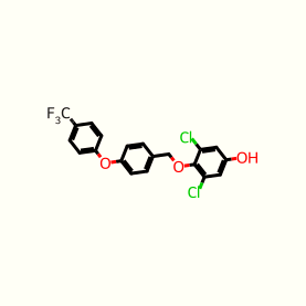 Oc1cc(Cl)c(OCc2ccc(Oc3ccc(C(F)(F)F)cc3)cc2)c(Cl)c1